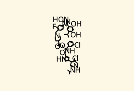 CC(C)Nc1cc(-c2c[nH]c(C(=O)N[C@H](COC(=O)C3CCN(Cc4ccc(-n5c(O)nnc5-c5cc(C(C)C)c(O)cc5O)cc4F)CC3)c3cccc(Cl)c3)c2)c(Cl)cn1